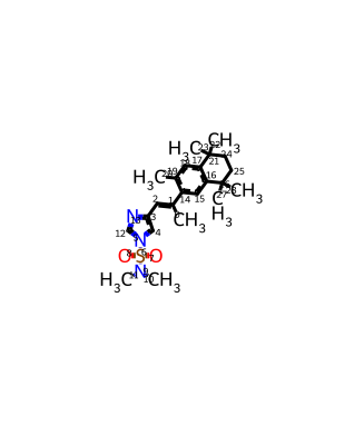 CC(=Cc1cn(S(=O)(=O)N(C)C)cn1)c1cc2c(cc1C)C(C)(C)CCC2(C)C